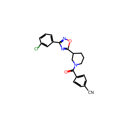 N#Cc1ccc(C(=O)N2CCCC(c3nc(-c4cccc(Cl)c4)no3)C2)cc1